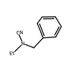 CCN(C#N)Cc1ccccc1